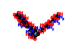 CC(C)C[C@H](N)C(=O)O.CC(C)[C@H](N)C(=O)O.C[C@@H](O)[C@H](N)C(=O)O.C[C@@H](O)[C@H](N)C(=O)O.NCC(=O)O.N[C@@H](CC(=O)O)C(=O)O.N[C@@H](CCC(=O)O)C(=O)O.N[C@@H](CO)C(=O)O.N[C@@H](CO)C(=O)O.N[C@@H](CO)C(=O)O.N[C@@H](Cc1ccc(O)cc1)C(=O)O.N[C@@H](Cc1ccccc1)C(=O)O